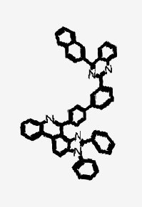 c1ccc(-c2nc3c4c(-c5ccc(-c6cccc(-c7nc(-c8ccc9ccccc9c8)c8ccccc8n7)c6)cc5)nc5ccccc5c4ccc3n2-c2ccccc2)cc1